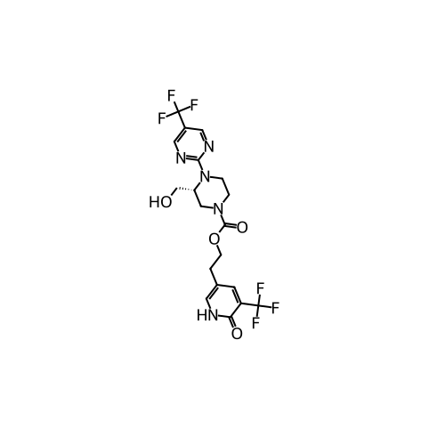 O=C(OCCc1c[nH]c(=O)c(C(F)(F)F)c1)N1CCN(c2ncc(C(F)(F)F)cn2)[C@@H](CO)C1